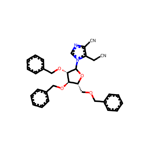 N#CCc1c(C#N)ncn1C1O[C@H](COCc2ccccc2)[C@@H](OCc2ccccc2)[C@@H]1OCc1ccccc1